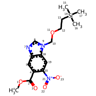 COC(=O)c1cc2ncn(COCC[Si](C)(C)C)c2cc1[N+](=O)[O-]